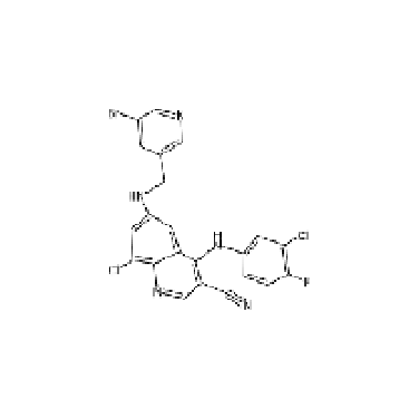 N#Cc1cnc2c(Cl)cc(NCc3cncc(Br)c3)cc2c1Nc1ccc(F)c(Cl)c1